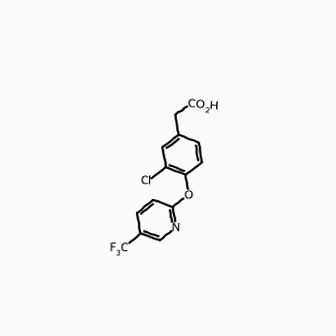 O=C(O)Cc1ccc(Oc2ccc(C(F)(F)F)cn2)c(Cl)c1